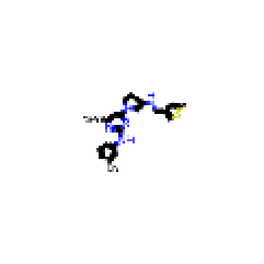 CCCc1cc(N2CCC(NCc3ccsc3)C2)nc(Nc2cccc(C#N)c2)n1